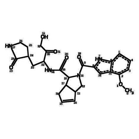 COc1cccc2[nH]c(C(=O)N3CC4C=CCC4C3C(=O)NC(CC3CCNC3=O)C(=O)CO)cc12